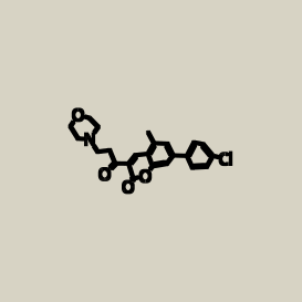 Cc1cc(-c2ccc(Cl)cc2)cc2oc(=O)c(C(=O)CCN3CCOCC3)cc12